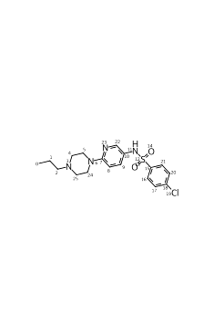 CCCN1CCN(c2ccc(NS(=O)(=O)c3ccc(Cl)cc3)cn2)CC1